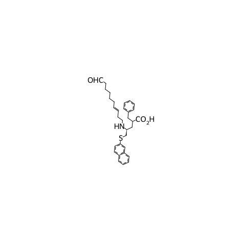 O=CCCCCC/C=C/CCN[C@H](CSc1ccc2ccccc2c1)CC(Cc1ccccc1)C(=O)O